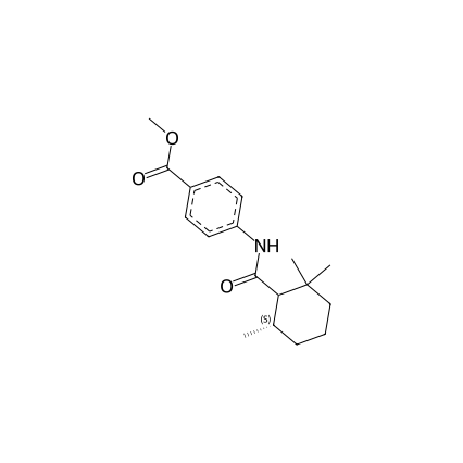 COC(=O)c1ccc(NC(=O)C2[C@@H](C)CCCC2(C)C)cc1